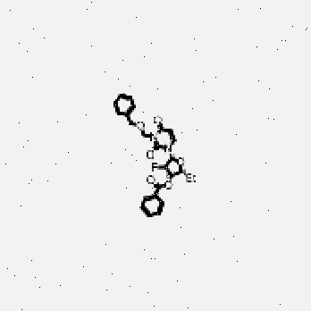 CC[C@H]1O[C@@H](n2ccc(=O)n(COCc3ccccc3)c2=O)C(F)[C@H]1OC(=O)c1ccccc1